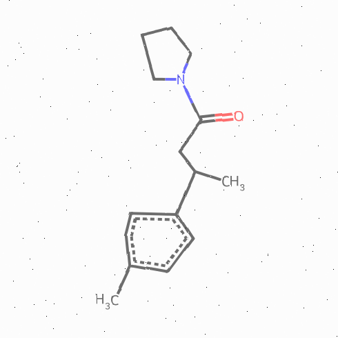 Cc1ccc(C(C)CC(=O)N2CCCC2)cc1